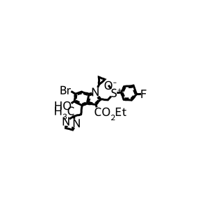 CCOC(=O)c1c(C[S+]([O-])c2ccc(F)cc2)n(C2CC2)c2cc(Br)c(O)c(CC3(C)N=CC=N3)c12